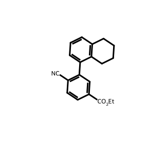 CCOC(=O)c1ccc(C#N)c(-c2cccc3c2CCCC3)c1